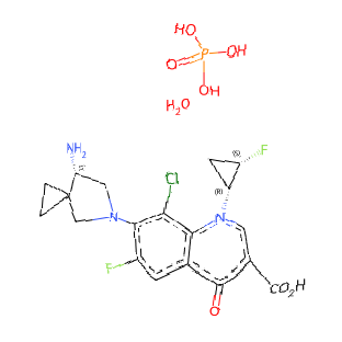 N[C@@H]1CN(c2c(F)cc3c(=O)c(C(=O)O)cn([C@@H]4C[C@@H]4F)c3c2Cl)CC12CC2.O.O=P(O)(O)O